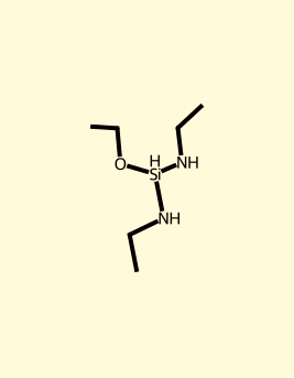 CCN[SiH](NCC)OCC